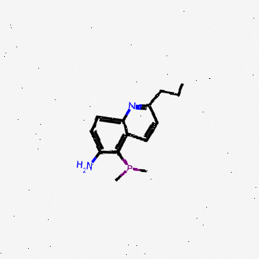 CCCc1ccc2c(P(C)C)c(N)ccc2n1